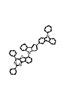 C1=C(c2ccc3c(c2)c2ccccc2n3-c2ccccc2)C=C2c3ccccc3N(c3cccc4c3sc3c(-c5ccccc5)nc(-c5ccccc5)nc34)C2C1